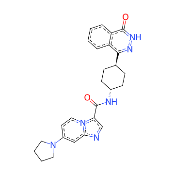 O=C(N[C@H]1CC[C@H](c2n[nH]c(=O)c3ccccc32)CC1)c1cnc2cc(N3CCCC3)ccn12